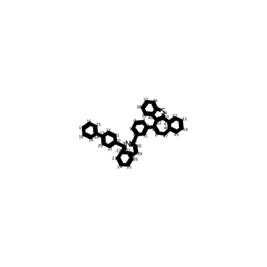 C1=C(c2cccc(C3=N/C(c4ccc(-c5ccccc5)cc4)=c4/cccc/c4=C\C=C\3)c2)c2c(sc3ccccc23)-c2ccccc2C1